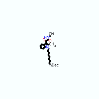 CCCCCCCCCCCCCCCCCCn1c(C)c(C(=O)C(=O)NCC#N)c2ccccc21